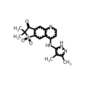 Cc1n[nH]c(Nc2ccnc3cc4c(cc23)S(=O)(=O)C(C)(C)C4=O)c1C